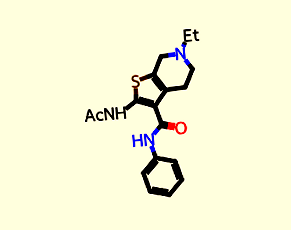 CCN1CCc2c(sc(NC(C)=O)c2C(=O)Nc2ccccc2)C1